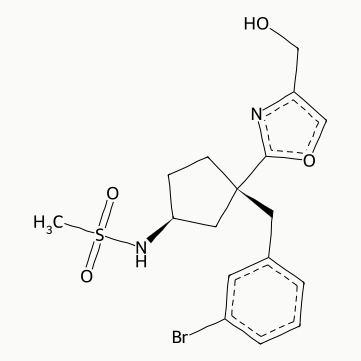 CS(=O)(=O)N[C@H]1CC[C@](Cc2cccc(Br)c2)(c2nc(CO)co2)C1